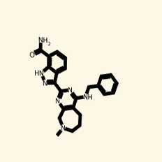 CN1CCCc2c(nc(-c3n[nH]c4c(C(N)=O)cccc34)nc2NCc2ccccc2)C1